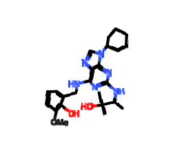 COc1cccc(CNc2nc(NC(C)C(C)(C)O)nc3c2ncn3C2CCCCC2)c1O